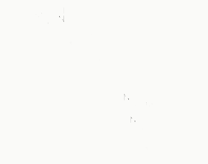 Cc1ccc(NC(=O)N2CCC(COc3ccc4c(c3)CCC(=O)N4)CC2)cc1